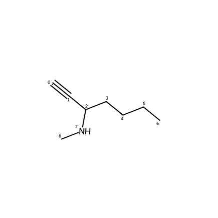 [C]#CC(CCCC)NC